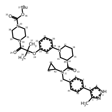 Cc1n[nH]cc1-c1ccc(CN(C(=O)[C@@H]2CCCN(c3cccc(OC(C)(C)C(=O)N4CCN(C(=O)OC(C)(C)C)CC4)c3)C2)C2CC2)cc1